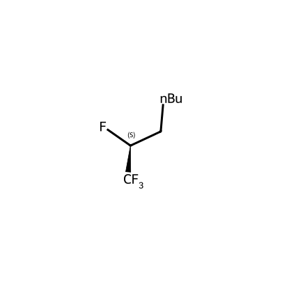 [CH2]CCCC[C@H](F)C(F)(F)F